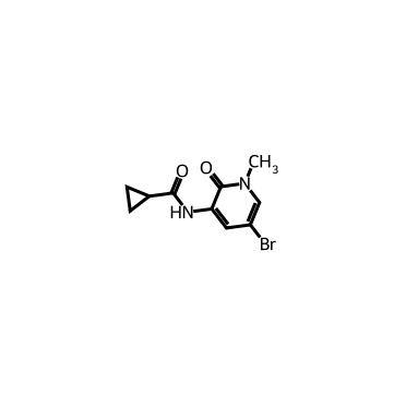 Cn1cc(Br)cc(NC(=O)C2CC2)c1=O